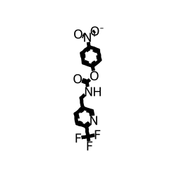 O=C(NCc1ccc(C(F)(F)F)nc1)Oc1ccc([N+](=O)[O-])cc1